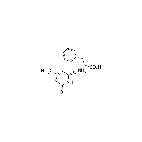 NC(Cc1ccccc1)C(=O)O.O=C(O)c1cc(=O)[nH]c(=O)[nH]1